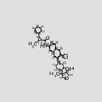 CC1C(C(=O)Nc2cc3cc(N4CCN(C5(C)COCC5O)CC4)c(Cl)cc3cn2)C1c1ccccn1